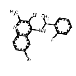 Cc1nc2ccc(Br)cc2c(NC(C)c2ccccc2F)c1Cl